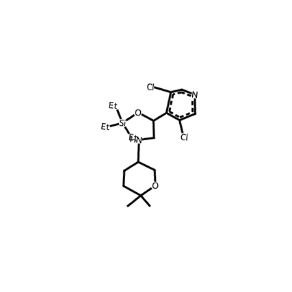 CC[Si](CC)(CC)OC(CNC1CCC(C)(C)OC1)c1c(Cl)cncc1Cl